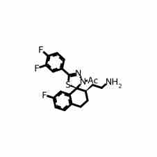 CC(=O)N1N=C(c2ccc(F)c(F)c2)S[C@@]12c1cc(F)ccc1CC[C@@H]2CCN